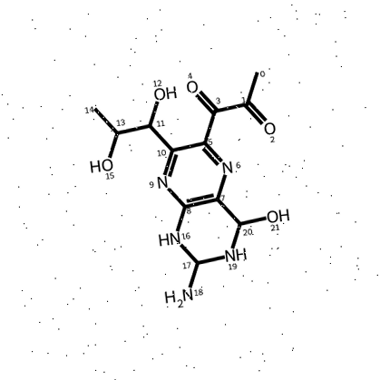 CC(=O)C(=O)c1nc2c(nc1C(O)C(C)O)NC(N)NC2O